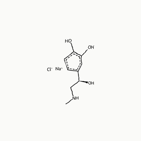 CNC[C@H](O)c1ccc(O)c(O)c1.[Cl-].[Na+]